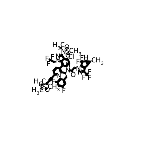 CCN(c1nn(CC(F)(F)F)c2c(-c3ccc(C#CC(C)(C)S(C)(=O)=O)nc3[C@H](Cc3cc(F)cc(F)c3)NC(=O)Cn3nc(C(F)(F)F)c4c3C(F)(F)[C@H]3C4[C@H]3C)ccc(Cl)c12)S(C)(=O)=O